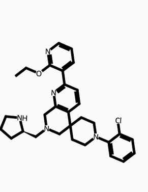 CCOc1ncccc1-c1ccc2c(n1)CN(C[C@H]1CCCN1)CC21CCN(c2ccccc2Cl)CC1